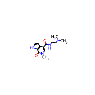 CN(C)CCNC(=O)c1cn(C)c(=O)c2[nH]ccc12